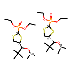 CCOP(=O)(OCC)[C@@H]1SC[C@@H](C(O[SiH](C)C)C(C)(C)C)S1.CCOP(=O)(OCC)[C@@H]1SC[C@H](C(O[SiH](C)C)C(C)(C)C)S1